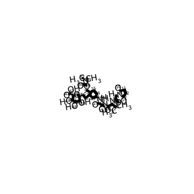 CC(C)[C@H](NC(=O)CN1C(=O)C=CC1=O)C(=O)N[C@@H](C)C(=O)Nc1ccc(COC(=O)N(C)C)c(CC[C@@H]2O[C@H](C(=O)O)[C@@H](O)[C@H](O)[C@H]2O)c1